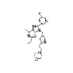 CCc1nc(C)c2nc(-c3cncc(F)c3)n(CC3C=NN(CCN4CCOCC4)C3)c2n1